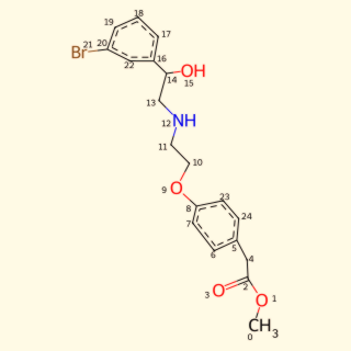 COC(=O)Cc1ccc(OCCNCC(O)c2cccc(Br)c2)cc1